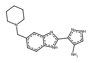 Nc1c[nH]nc1-c1nc2cc(CN3CCCCC3)ccc2[nH]1